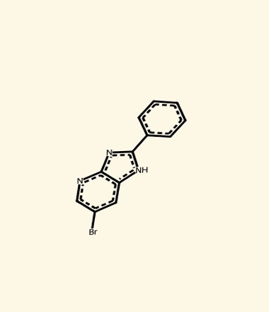 Brc1cnc2nc(-c3ccccc3)[nH]c2c1